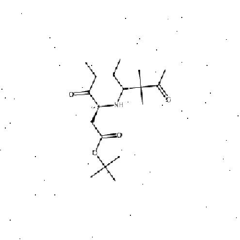 CCC(=O)[C@H](CC(=O)OC(C)(C)C)NC(CC)C(C)(C)C(C)=O